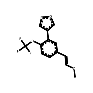 COC=Cc1ccc(OC(F)(F)F)c(-c2cnoc2)c1